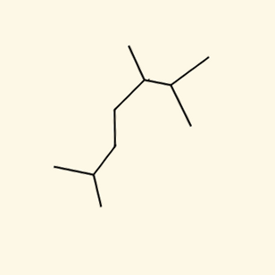 C[C](CCC(C)C)C(C)C